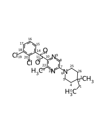 CCC1(C)CCN(c2cnc(S(=O)(=O)c3cccc(Cl)c3Cl)c(C)n2)CC1